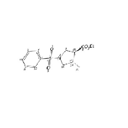 CCOC(=O)[C@@H]1CN(S(=O)(=O)c2ccccc2)C[C@H]1C